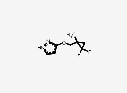 CC1(COc2cc[nH]n2)CC1(F)F